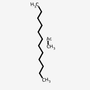 CC(C)=O.CCCCCCCCCCCC